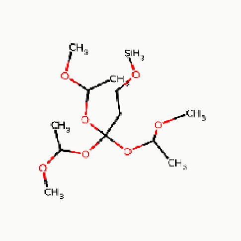 COC(C)OC(CCO[SiH3])(OC(C)OC)OC(C)OC